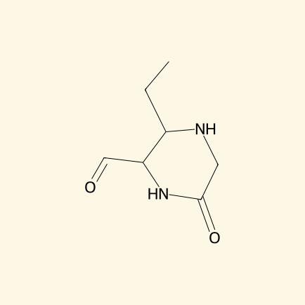 CCC1NCC(=O)NC1C=O